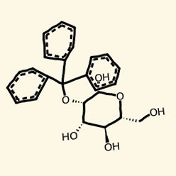 OC[C@H]1O[C@@H](O)[C@@H](OC(c2ccccc2)(c2ccccc2)c2ccccc2)[C@@H](O)[C@@H]1O